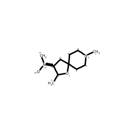 CC1OC2(CCN(C)CC2)C/C1=[N+](\C)[O-]